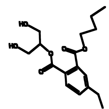 CCCCOC(=O)c1cc(CC)ccc1C(=O)OC(CO)CO